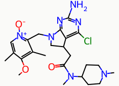 COc1c(C)c[n+]([O-])c(CN2CC(CC(=O)N(C)C3CCN(C)CC3)c3c(Cl)nc(N)nc32)c1C